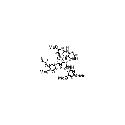 C=CCOc1cc(CN2CCC(Nc3nc(OC)cc(OC)n3)CC2)ccc1OC.COc1cc(OC)nc(NC2CCNCC2)n1